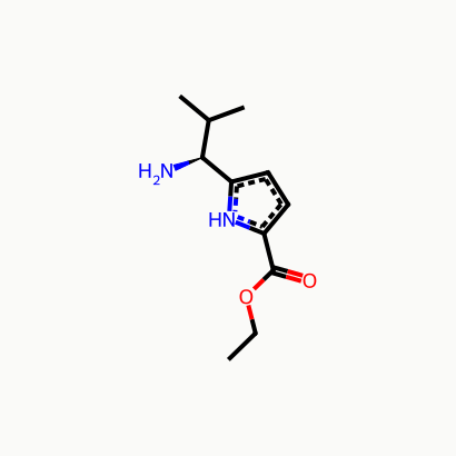 CCOC(=O)c1ccc([C@@H](N)C(C)C)[nH]1